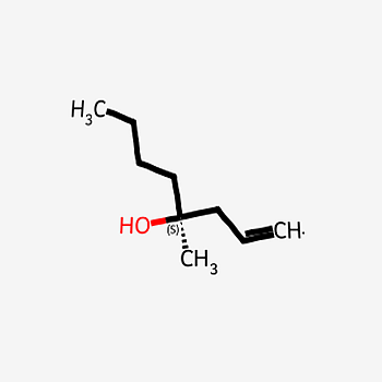 [CH]=CC[C@@](C)(O)CCCC